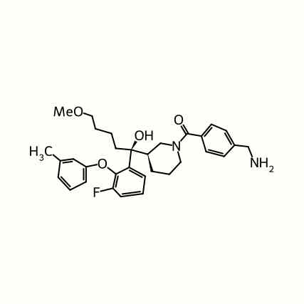 COCCCC[C@@](O)(c1cccc(F)c1Oc1cccc(C)c1)[C@@H]1CCCN(C(=O)c2ccc(CN)cc2)C1